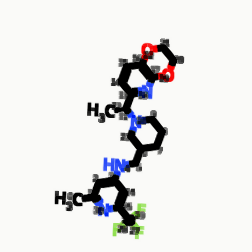 Cc1cc(NCC2CCCN([C@@H](C)c3ccc4c(n3)OCCO4)C2)cc(C(F)(F)F)n1